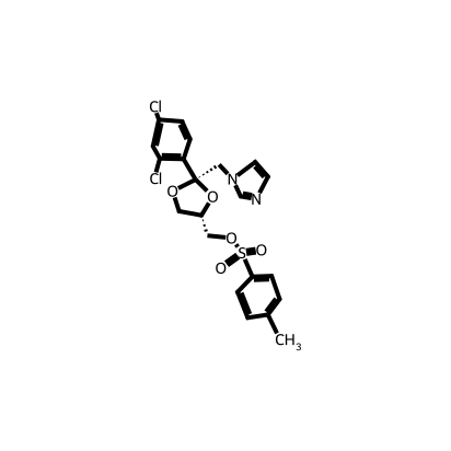 Cc1ccc(S(=O)(=O)OC[C@@H]2CO[C@@](Cn3ccnc3)(c3ccc(Cl)cc3Cl)O2)cc1